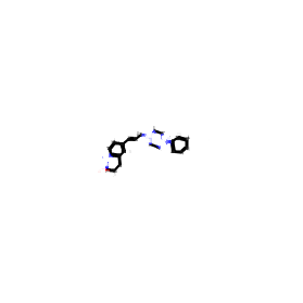 Cc1cccc(N2CCN(CC=Cc3ccc4c(c3)CCC(=O)N4)CC2)c1